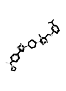 CC(C)c1cccc(OCc2nnc([C@H]3CC[C@H](n4cc(-c5ccc([C@@H](C)N6CCC6)cc5)nn4)CC3)n2C)c1